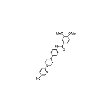 COc1ccc(C(=O)Nc2ccc(N3CCN(c4ccc(C#N)cn4)CC3)cc2)cc1OC